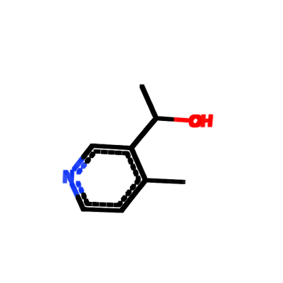 Cc1ccncc1C(C)O